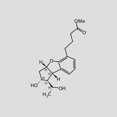 COC(=O)CCCc1cccc2c1O[C@H]1C[C@@H](O)[C@H]([C@@H](C)O)[C@@H]21